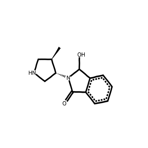 C[C@@H]1CNC[C@H]1N1C(=O)c2ccccc2C1O